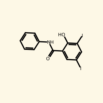 O=C(Nc1ccccc1)c1cc(I)cc(I)c1O